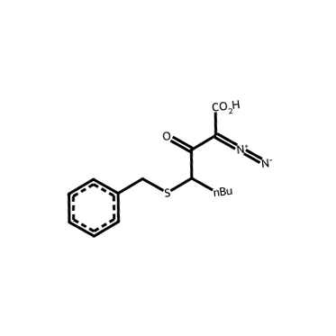 CCCCC(SCc1ccccc1)C(=O)C(=[N+]=[N-])C(=O)O